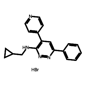 Br.c1ccc(-c2cc(-c3ccncc3)c(NCC3CC3)nn2)cc1